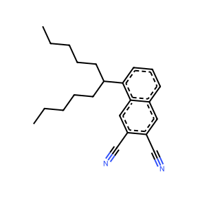 CCCCCC(CCCCC)c1cccc2cc(C#N)c(C#N)cc12